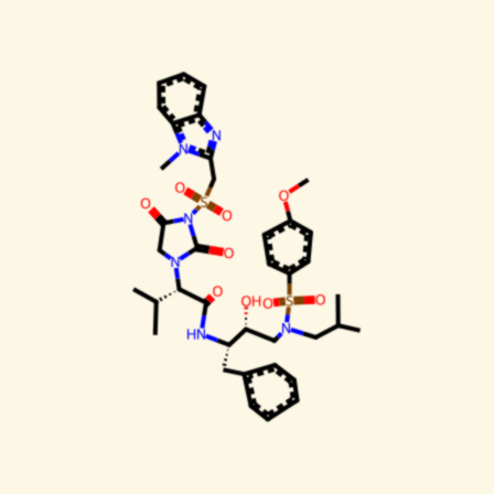 COc1ccc(S(=O)(=O)N(CC(C)C)C[C@@H](O)[C@H](Cc2ccccc2)NC(=O)[C@H](C(C)C)N2CC(=O)N(S(=O)(=O)Cc3nc4ccccc4n3C)C2=O)cc1